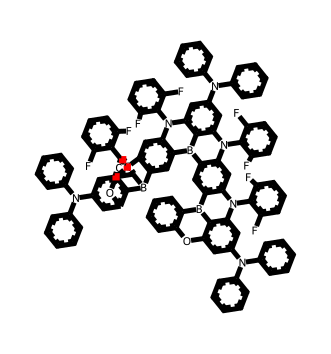 Fc1cccc(F)c1N1c2cc3c(cc2B2c4ccccc4Oc4cc(N(c5ccccc5)c5ccccc5)cc1c42)B1c2cc4c(cc2N(c2c(F)cccc2F)c2cc(N(c5ccccc5)c5ccccc5)cc(c21)N3c1c(F)cccc1F)N(c1c(F)cccc1F)c1cc(N(c2ccccc2)c2ccccc2)cc2c1B4c1ccccc1O2